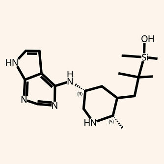 C[C@@H]1NC[C@H](Nc2ncnc3[nH]ccc23)CC1CC(C)(C)[Si](C)(C)O